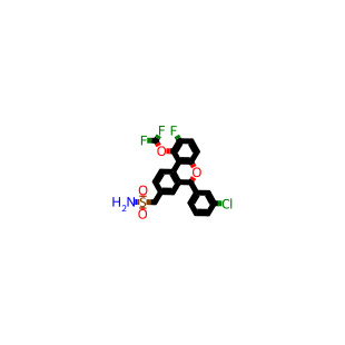 NS(=O)(=O)Cc1ccc2c(c1)C(c1cccc(Cl)c1)Oc1ccc(F)c(OC(F)F)c1-2